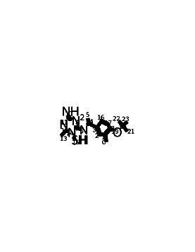 Cc1cc(C(C)NC2=NC(N)=NC(C)N2S)ccc1OC(C)(C)C